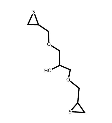 OC(COCC1CS1)COCC1CS1